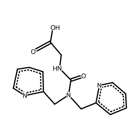 O=C(O)CNC(=O)N(Cc1ccccn1)Cc1ccccn1